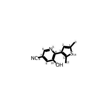 Cc1cc(-c2ncc(C#N)cc2O)c(C)s1